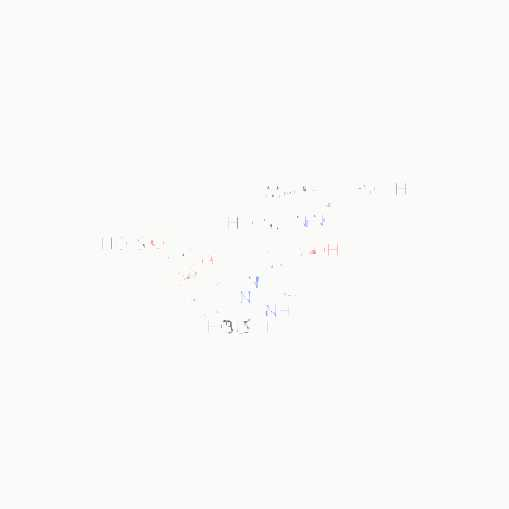 COc1ccc(S(=O)(=O)O)cc1/N=N/c1c(S(=O)(=O)O)cc2c(/N=N/c3cc(S(=O)(=O)CCOS(=O)(=O)O)ccc3S(=O)(=O)O)c(NCS(=O)(=O)O)ccc2c1O